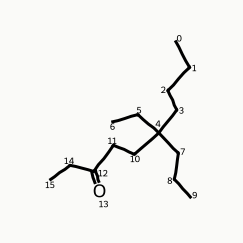 CCCCC(CC)(CCC)CCC(=O)CC